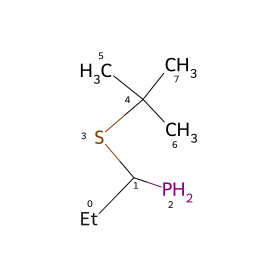 CCC(P)SC(C)(C)C